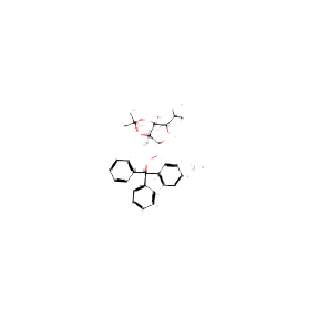 CCOC(=O)C(C=O)C1O[C@H](COC(c2ccccc2)(c2ccccc2)c2ccccc2)[C@H]2OC(C)(C)O[C@@H]12.[NaH]